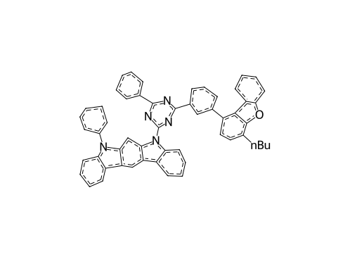 CCCCc1ccc(-c2cccc(-c3nc(-c4ccccc4)nc(-n4c5ccccc5c5cc6c7ccccc7n(-c7ccccc7)c6cc54)n3)c2)c2c1oc1ccccc12